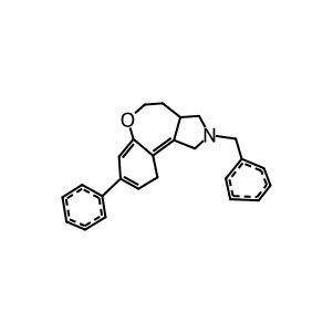 C1=C2OCCC3CN(Cc4ccccc4)CC3=C2CC=C1c1ccccc1